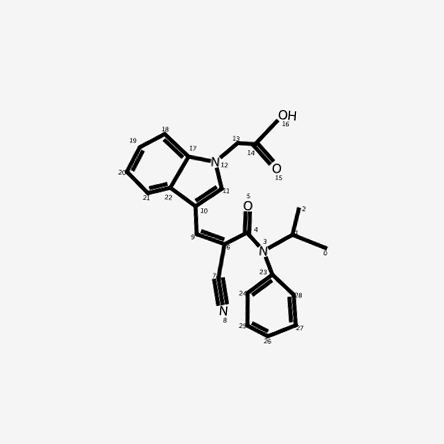 CC(C)N(C(=O)C(C#N)=Cc1cn(CC(=O)O)c2ccccc12)c1ccccc1